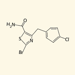 NC(=O)c1sc(Br)nc1Cc1ccc(Cl)cc1